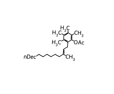 CCCCCCCCCCCCCCCC/C(C)=C/Cc1c(C)c(C)c(C)c(C)c1OC(C)=O